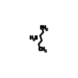 CCCCCP.S